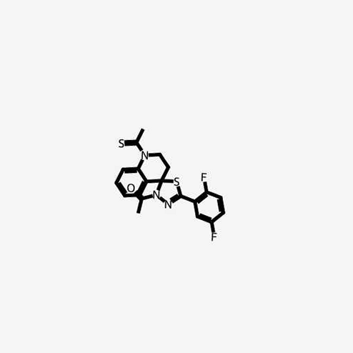 CC(=O)N1N=C(c2cc(F)ccc2F)SC12CCN(C(C)=S)c1ccccc12